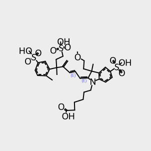 C=C(/C=C/C=C1/N(CCCCCC(=O)O)c2ccc(S(=O)(=O)O)cc2C1(C)CCOC)C(C)(CCS(=O)(=O)O)c1cc(S(=O)(=O)O)ccc1C